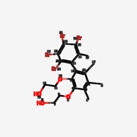 Cc1c(C)c(OCCO)c(OCCO)c(-c2c(C)c(Br)c(Br)c(Br)c2Br)c1C